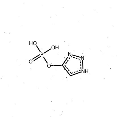 O=P(O)(O)Oc1c[nH]nn1